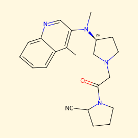 Cc1c(N(C)[C@H]2CCN(CC(=O)N3CCCC3C#N)C2)cnc2ccccc12